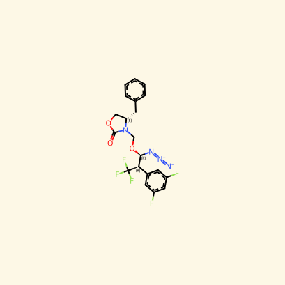 [N-]=[N+]=N[C@H](OCN1C(=O)OC[C@@H]1Cc1ccccc1)[C@@H](c1cc(F)cc(F)c1)C(F)(F)F